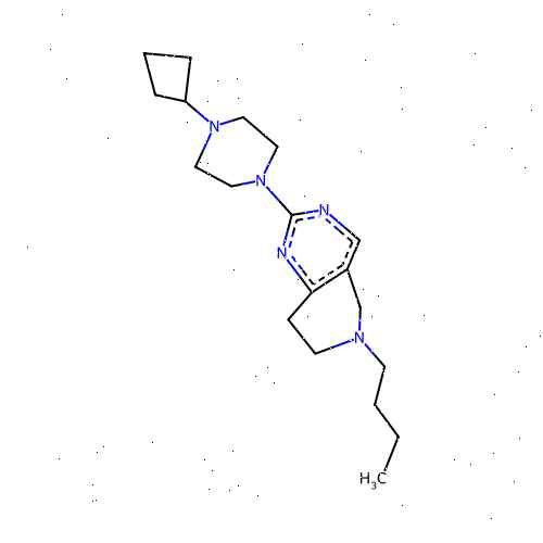 CCCCN1CCc2nc(N3CCN(C4CCC4)CC3)ncc2C1